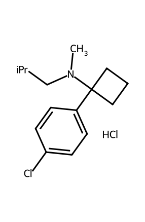 CC(C)CN(C)C1(c2ccc(Cl)cc2)CCC1.Cl